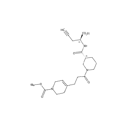 C#CC[C@H](NC(=O)[C@@H]1CCCN(C(=O)CCC2=CCN(C(=O)OC(C)(C)C)CC2)C1)C(=O)OCC